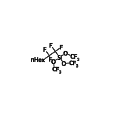 CCCCCCC(F)(F)C(F)(F)[Si](OC(F)(F)F)(OC(F)(F)F)OC(F)(F)F